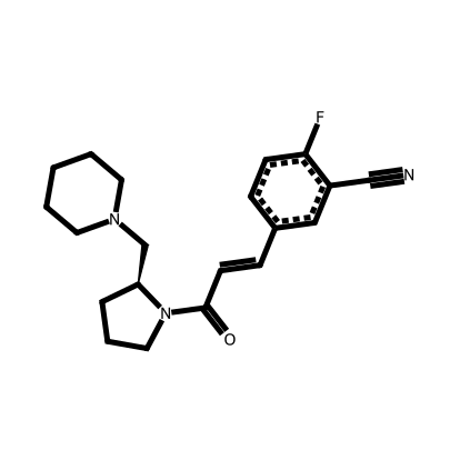 N#Cc1cc(/C=C/C(=O)N2CCC[C@H]2CN2CCCCC2)ccc1F